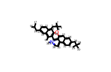 Cc1c2c(c(CC(C)(C)C)c3ccc(CC(C)C)cc13)Oc1cc3cc(CC(C)(C)C)ccc3c3cc[n+](C)c-2c13